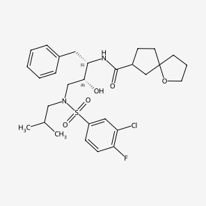 CC(C)CN(C[C@@H](O)[C@H](Cc1ccccc1)NC(=O)C1CCC2(CCCO2)C1)S(=O)(=O)c1ccc(F)c(Cl)c1